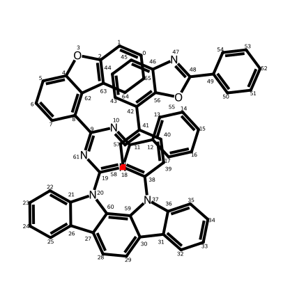 C1=Cc2oc3cccc(-c4nc(-c5ccccc5)nc(-n5c6ccccc6c6ccc7c8ccccc8n(-c8ccc(-c9cccc%10nc(-c%11ccccc%11)oc9%10)cc8)c7c65)n4)c3c2CC1